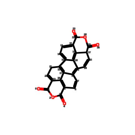 O=C1OC(=O)c2ccc3c4c5c6c(ccc5c5c3c2C1=CC5)C(=O)OC(=O)C6C=C4